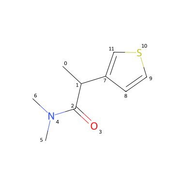 CC(C(=O)N(C)C)c1ccsc1